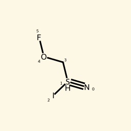 N#[SH](I)COF